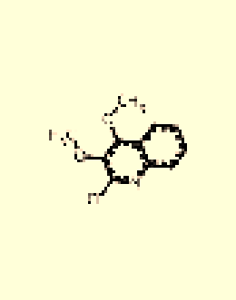 COc1c(Cl)nc2ccccc2c1OC